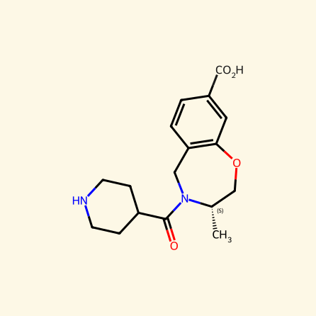 C[C@H]1COc2cc(C(=O)O)ccc2CN1C(=O)C1CCNCC1